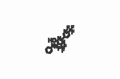 Oc1nc(-c2ccc(C(F)(F)F)nc2)nc(C(F)(F)F)c1N=Nc1ccccc1